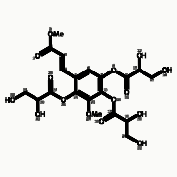 COC(=O)C=Cc1cc(OC(=O)C(O)CO)c(OC(=O)C(O)CO)c(OC)c1OC(=O)C(O)CO